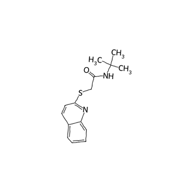 CC(C)(C)NC(=O)CSc1ccc2ccccc2n1